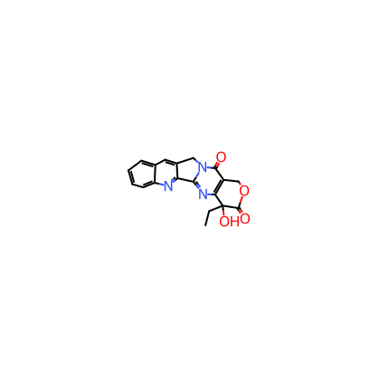 CCC1(O)C(=O)OCc2c1nc1n(c2=O)Cc2cc3ccccc3nc2-1